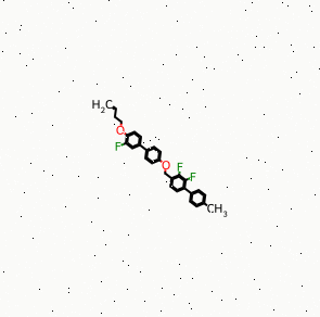 C=CCCOc1ccc(-c2ccc(OCc3ccc(-c4ccc(C)cc4)c(F)c3F)cc2)cc1F